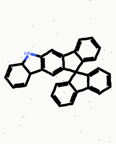 C1=CC2Nc3cc4c(cc3C2C=C1)C1(c2ccccc2-c2ccccc21)c1ccccc1-4